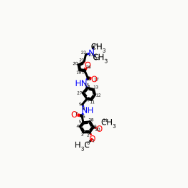 COc1ccc(C(=O)NCc2cccc(NC(=O)c3ccc(CN(C)C)o3)c2)cc1OC